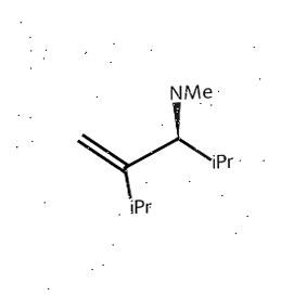 C=C(C(C)C)[C@@H](NC)C(C)C